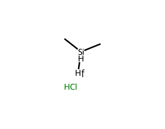 C[SiH](C)[Hf].Cl